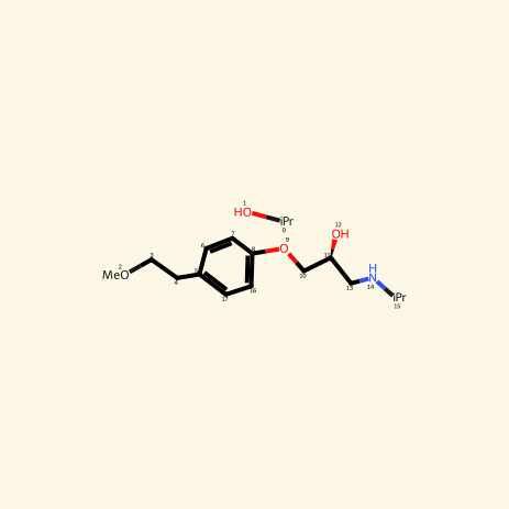 CC(C)O.COCCc1ccc(OC[C@@H](O)CNC(C)C)cc1